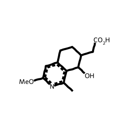 COc1cc2c(c(C)n1)C(O)C(CC(=O)O)CC2